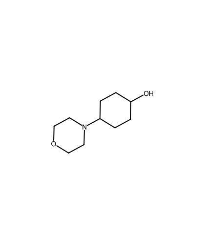 OC1CCC(N2CCOCC2)CC1